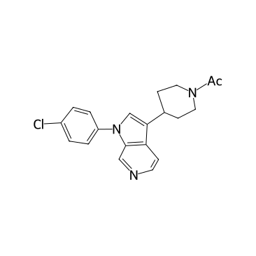 CC(=O)N1CCC(c2cn(-c3ccc(Cl)cc3)c3cnccc23)CC1